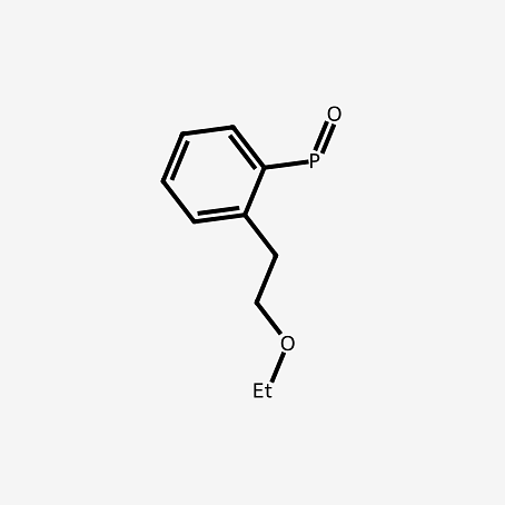 CCOCCc1ccccc1P=O